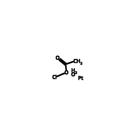 CC(=O)OCl.O.[Pt]